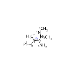 C=NN(C)/C(N)=C(\C)CC(C)C